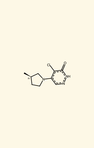 C[C@@H]1[CH]CN(c2cn[nH]c(=O)c2Cl)C1